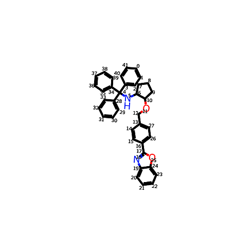 c1ccc(C(NC2CCCC2OCc2ccc(-c3nc4ccccc4o3)cc2)(c2ccccc2)c2ccccc2)cc1